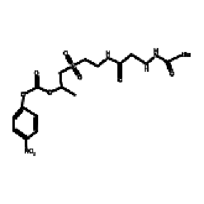 CC(CS(=O)(=O)CCNC(=O)CNNC(=O)C(C)(C)C)OC(=O)Oc1ccc([N+](=O)[O-])cc1